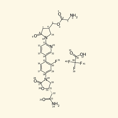 NCC(=O)OCC1CC(=O)N(c2ccc(-c3ccc(N4C[C@H](CC(N)=O)OC4=O)cc3F)cn2)C1.O=C(O)C(F)(F)F